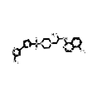 Cc1cc(-c2ccc(S(=O)(=O)N3CCN(CC(C)Nc4ncnc5c(C(F)(F)F)cccc45)CC3)s2)on1